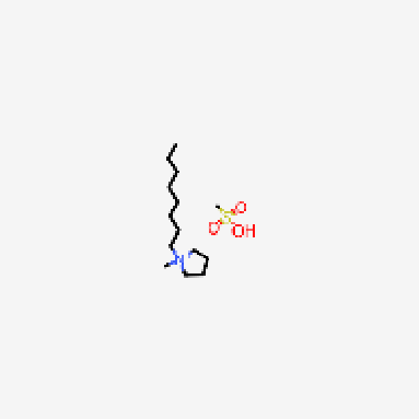 CCCCCCCC[N+]1(C)CCCC1.CS(=O)(=O)O